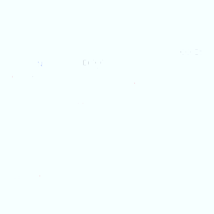 CCOC(=O)CCCOc1cccc(COc2cc(C(=O)N3CCC(F)(F)C3)cc(-c3ccc4c(c3)OCO4)c2)c1CCC(=O)OCC